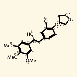 C1COOC1.COc1ccc(C[C@@H](O)c2cc(OC)c(OC)c(OC)c2)cc1O